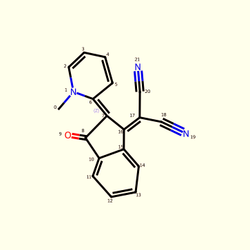 CN1C=CC=C/C1=C1/C(=O)c2ccccc2C1=C(C#N)C#N